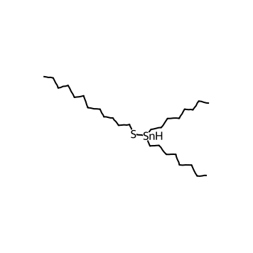 CCCCCCCCCCCC[S][SnH]([CH2]CCCCCCC)[CH2]CCCCCCC